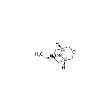 C/C=C1/C[C@H]2COC[C@@H](C1)N2C